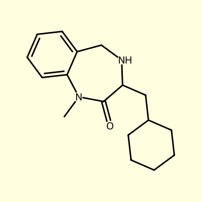 CN1C(=O)C(CC2CCCCC2)NCc2ccccc21